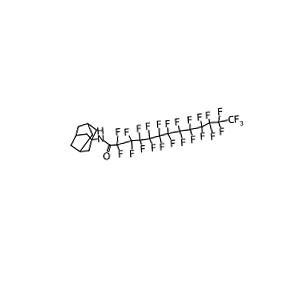 O=C(NC12CC3CC(CC(C3)C1)C2)C(F)(F)C(F)(F)C(F)(F)C(F)(F)C(F)(F)C(F)(F)C(F)(F)C(F)(F)C(F)(F)C(F)(F)C(F)(F)C(F)(F)F